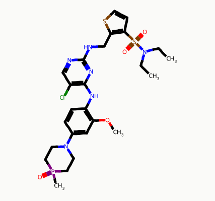 CCN(CC)S(=O)(=O)c1ccsc1CNc1ncc(Cl)c(Nc2ccc(N3CCP(C)(=O)CC3)cc2OC)n1